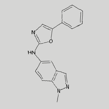 Cn1ncc2cc(Nc3ncc(-c4ccccc4)o3)ccc21